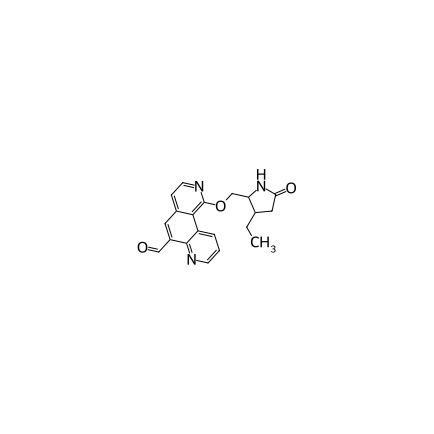 CCC1CC(=O)NC1COc1nccc2cc(C=O)c3ncccc3c12